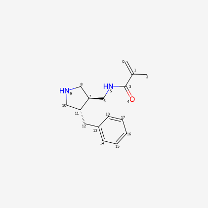 C=C(C)C(=O)NC[C@@H]1CNC[C@H]1Cc1ccccc1